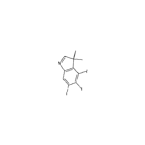 CC1(C)C=Nc2cc(I)c(I)c(I)c21